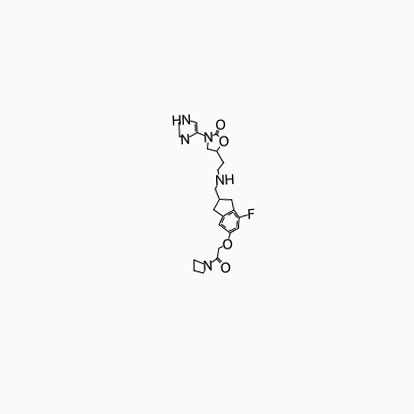 O=C(COc1cc(F)c2c(c1)CC(CNCCC1CN(C3=CNCC=N3)C(=O)O1)C2)N1CCC1